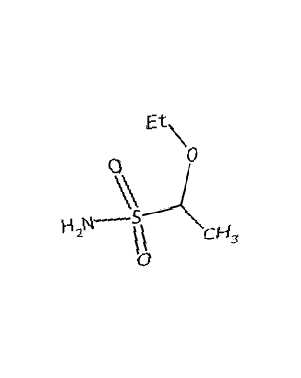 CCOC(C)S(N)(=O)=O